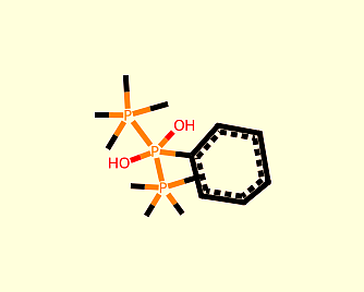 CP(C)(C)(C)P(O)(O)(c1ccccc1)P(C)(C)(C)C